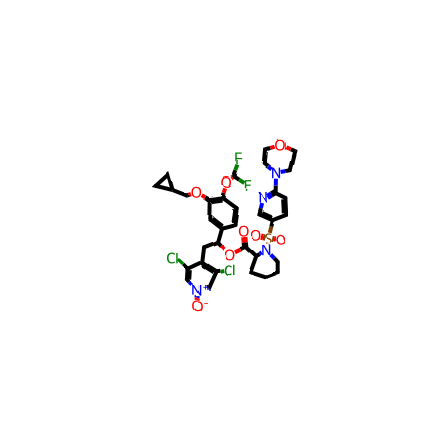 O=C(OC(Cc1c(Cl)c[n+]([O-])cc1Cl)c1ccc(OC(F)F)c(OCC2CC2)c1)C1CCCCN1S(=O)(=O)c1ccc(N2CCOCC2)nc1